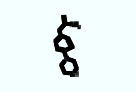 C=C(N)Cc1ccc(N2CCNCC2)cc1